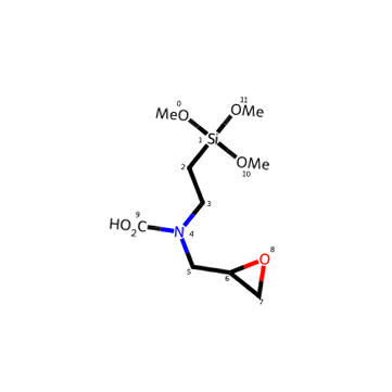 CO[Si](CCN(CC1CO1)C(=O)O)(OC)OC